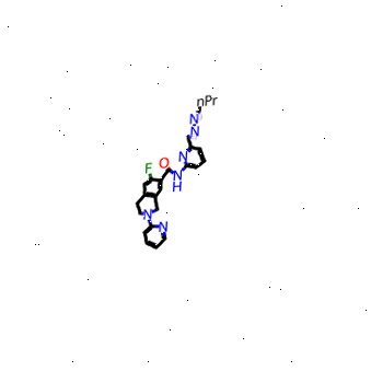 CCC/C=N/N=C/c1cccc(NC(=O)c2cc3c(cc2F)CCN(c2ccccn2)C3)n1